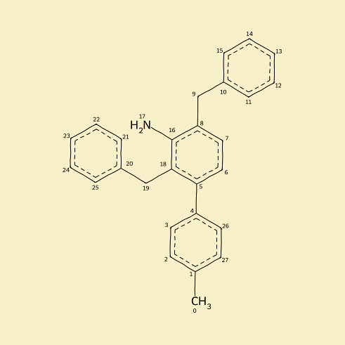 Cc1ccc(-c2ccc(Cc3ccccc3)c(N)c2Cc2ccccc2)cc1